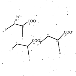 O=C([O-])C(I)CI.O=C([O-])C(I)CI.O=C([O-])C(I)CI.[In+3]